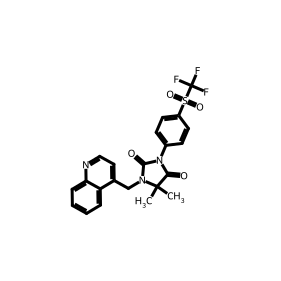 CC1(C)C(=O)N(c2ccc(S(=O)(=O)C(F)(F)F)cc2)C(=O)N1Cc1ccnc2ccccc12